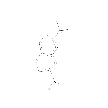 O=C(Br)c1ccc2ccc(C(=O)Br)cc2c1